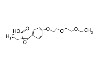 CCOCCOCCOc1ccc(C2OC2(CC)C(=O)O)cc1